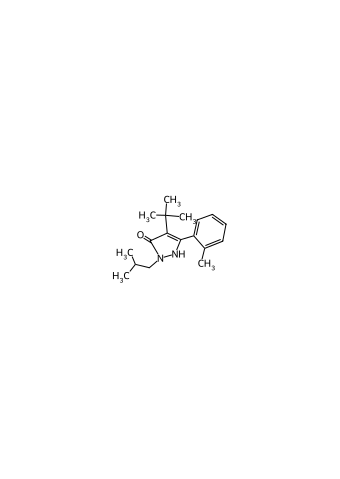 Cc1ccccc1-c1[nH]n(CC(C)C)c(=O)c1C(C)(C)C